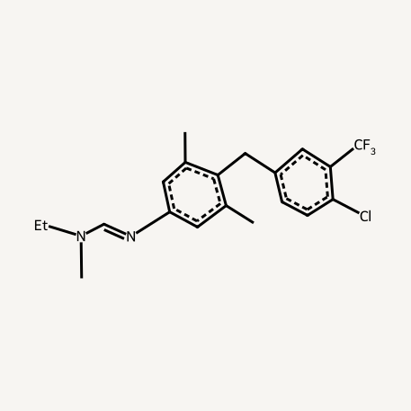 CCN(C)C=Nc1cc(C)c(Cc2ccc(Cl)c(C(F)(F)F)c2)c(C)c1